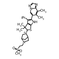 Cc1c(-c2[nH]c3c(c2C(C)C)C(C)(C)C([C@@H]2CC4CC2CN4CCS(C)(=O)=O)S3)cn2ncnc2c1C